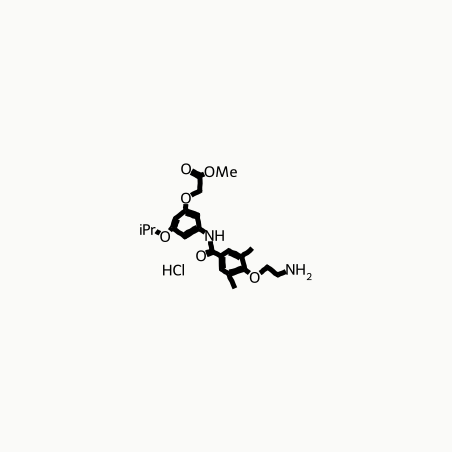 COC(=O)COc1cc(NC(=O)c2cc(C)c(OCCN)c(C)c2)cc(OC(C)C)c1.Cl